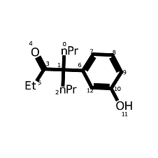 CCCC(CCC)(C(=O)CC)c1cccc(O)c1